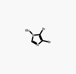 CC(C)(C)n1cnc(Br)c1Br